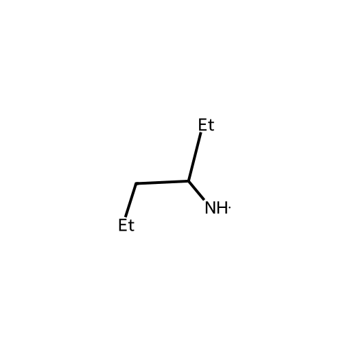 CCCC([NH])CC